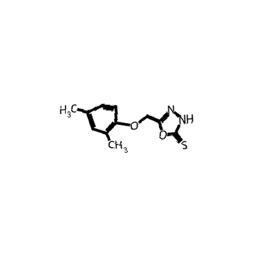 Cc1ccc(OCc2n[nH]c(=S)o2)c(C)c1